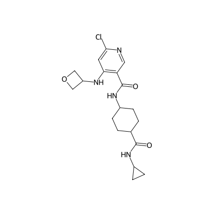 O=C(NC1CCC(C(=O)NC2CC2)CC1)c1cnc(Cl)cc1NC1COC1